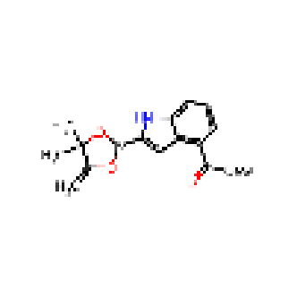 C=C1OB(c2cc3c(C(=O)OC)cccc3[nH]2)OC1(C)C